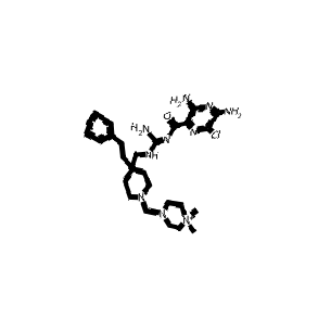 C[N+]1(C)CCN(CN2CCC(CCc3ccccc3)(CN/C(N)=N/C(=O)c3nc(Cl)c(N)nc3N)CC2)CC1